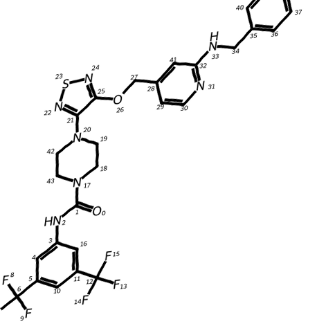 O=C(Nc1cc(C(F)(F)F)cc(C(F)(F)F)c1)N1CCN(c2nsnc2OCc2ccnc(NCc3ccccc3)c2)CC1